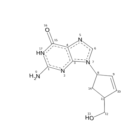 Nc1nc2c(ncn2C2C=CC(CO)C2)c(=O)[nH]1